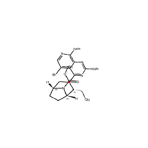 COc1ncc(Br)c2c(N3C[C@H]4CC[C@@H]([C@H]3CO)N4C(=O)OC(C)(C)C)nc(SC)nc12